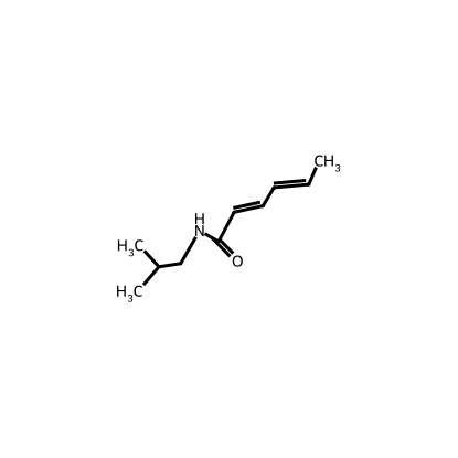 CC=CC=CC(=O)NCC(C)C